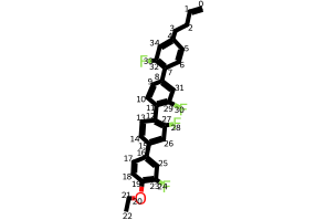 C=CCCc1ccc(-c2ccc(-c3ccc(-c4ccc(OCC)c(F)c4)cc3F)c(F)c2)c(F)c1